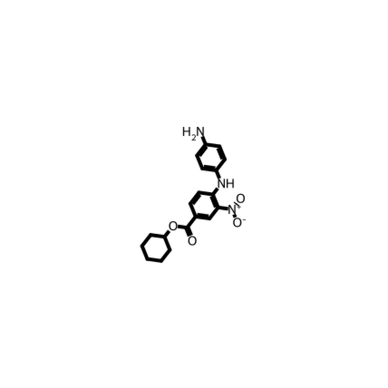 Nc1ccc(Nc2ccc(C(=O)OC3CCCCC3)cc2[N+](=O)[O-])cc1